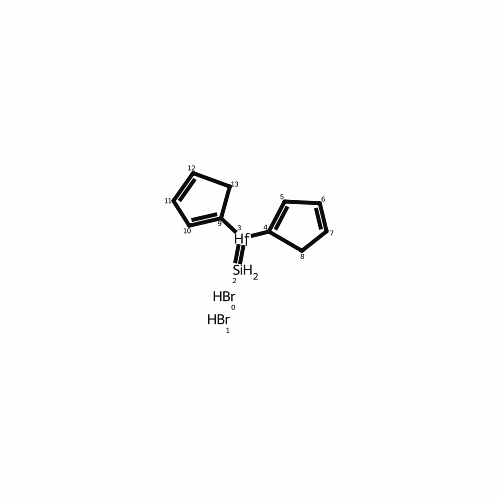 Br.Br.[SiH2]=[Hf]([C]1=CC=CC1)[C]1=CC=CC1